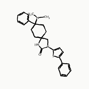 CN(C)C1(c2ccccc2)CCC2(CC1)CN(c1ccc(-c3ccccc3)s1)C(=O)N2